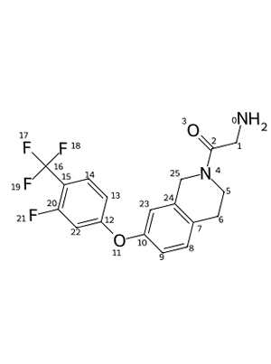 NCC(=O)N1CCc2ccc(Oc3ccc(C(F)(F)F)c(F)c3)cc2C1